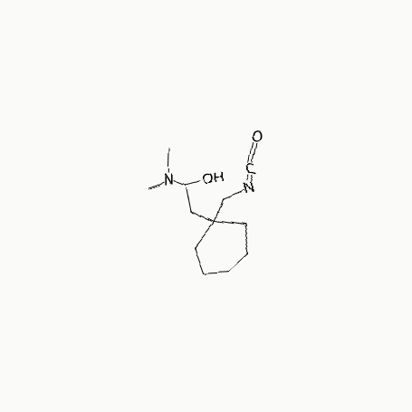 CN(C)C(O)CC1(CN=C=O)CCCCC1